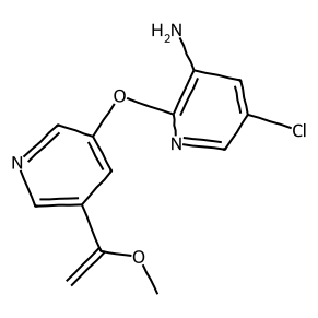 C=C(OC)c1cncc(Oc2ncc(Cl)cc2N)c1